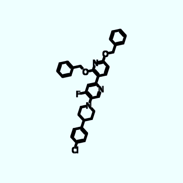 Fc1cc(-c2ccc(OCc3ccccc3)nc2OCc2ccccc2)ncc1N1CCC(c2ccc(Cl)cc2)CC1